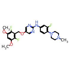 COc1cc(OC)c(F)c(COc2cnc(Nc3ccc(N4CCN(C)CC4)c(F)c3)nc2)c1F